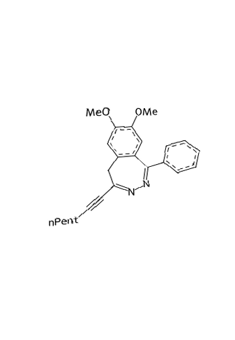 CCCCCC#CC1=NN=C(c2ccccc2)c2cc(OC)c(OC)cc2C1